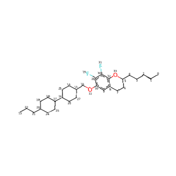 CCCCCC1CCc2cc(OCC3CCC(C4CCC(CCC)CC4)CC3)c(F)c(F)c2O1